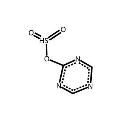 O=[SH](=O)Oc1ncncn1